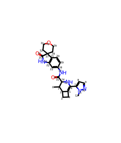 CC1C2CCC2=C(c2ccnn2C)NC1C(=O)Nc1ccc2c(c1)NC(=O)C21CCOCC1